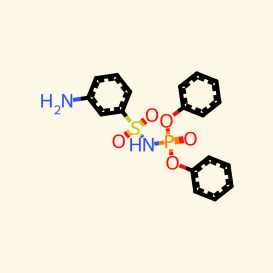 Nc1cccc(S(=O)(=O)NP(=O)(Oc2ccccc2)Oc2ccccc2)c1